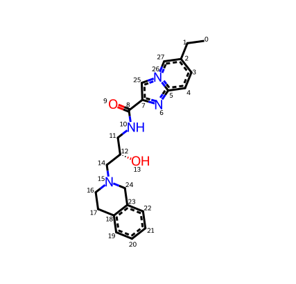 CCc1ccc2nc(C(=O)NC[C@H](O)CN3CCc4ccccc4C3)cn2c1